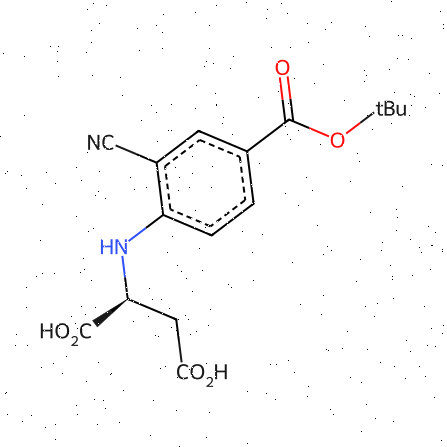 CC(C)(C)OC(=O)c1ccc(N[C@@H](CC(=O)O)C(=O)O)c(C#N)c1